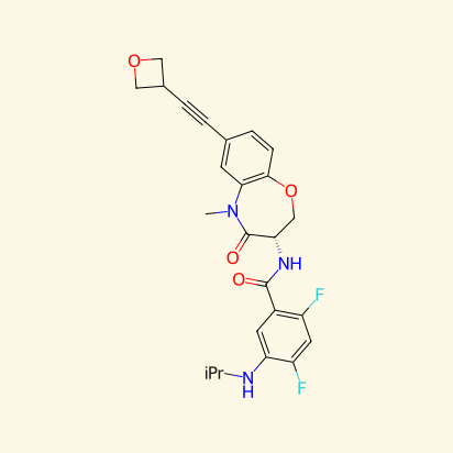 CC(C)Nc1cc(C(=O)N[C@H]2COc3ccc(C#CC4COC4)cc3N(C)C2=O)c(F)cc1F